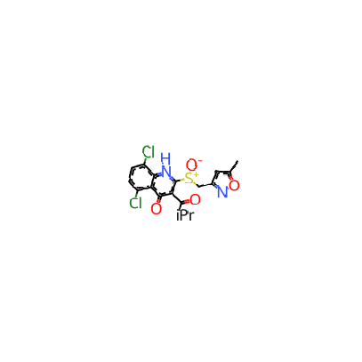 Cc1cc(C[S+]([O-])c2[nH]c3c(Cl)ccc(Cl)c3c(=O)c2C(=O)C(C)C)no1